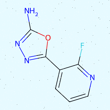 Nc1nnc(-c2cccnc2F)o1